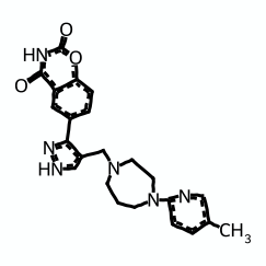 Cc1ccc(N2CCCN(Cc3c[nH]nc3-c3ccc4oc(=O)[nH]c(=O)c4c3)CC2)nc1